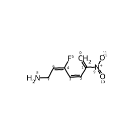 C=C(/C=C\C(F)=C/CN)[N+](=O)[O-]